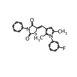 Cc1cc(C=C2SC(=O)N(c3ccccc3)C2=O)c(C)n1-c1cccc(F)c1